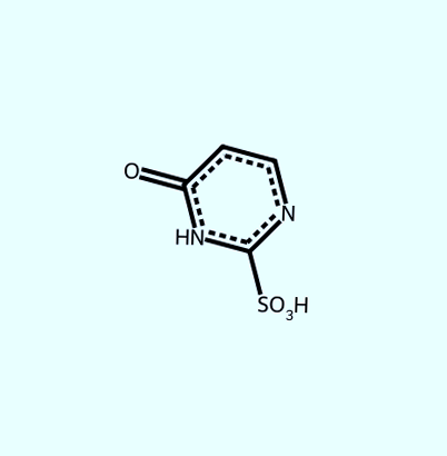 O=c1ccnc(S(=O)(=O)O)[nH]1